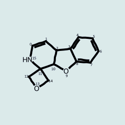 C1=CC2c3ccccc3OC2C2(COC2)N1